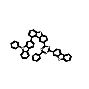 c1ccc(-c2nc(-c3ccc4c(c3)oc3ccccc34)nc(-c3ccc4sc5cccc(-c6ccc7c8ccccc8n(-c8ccccc8)c7c6)c5c4c3)n2)cc1